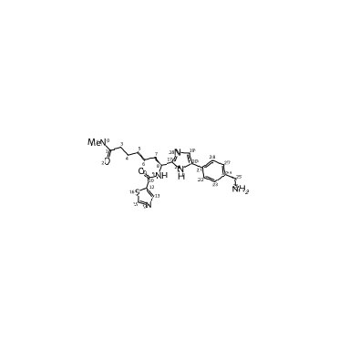 CNC(=O)CCCCC[C@H](NC(=O)c1cncs1)c1ncc(-c2ccc(CN)cc2)[nH]1